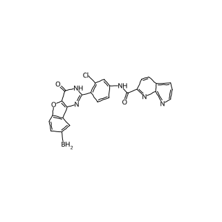 Bc1ccc2oc3c(=O)[nH]c(-c4ccc(NC(=O)c5ccc6cccnc6n5)cc4Cl)nc3c2c1